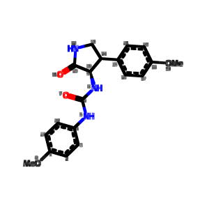 COc1ccc(NC(=O)N[C@H]2C(=O)NCC2c2ccc(OC)cc2)cc1